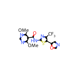 COc1ncnc(OC)c1C(=O)Nc1nc(C(F)(F)F)c(-c2cnco2)s1